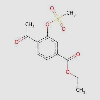 CCOC(=O)c1ccc(C(C)=O)c(OS(C)(=O)=O)c1